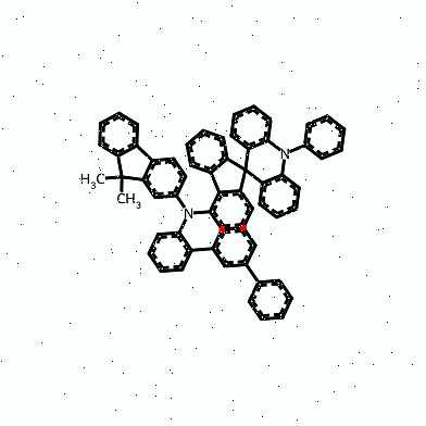 CC1(C)c2ccccc2-c2ccc(N(c3ccccc3-c3cccc(-c4ccccc4)c3)c3cccc4c3-c3ccccc3C43c4ccccc4N(c4ccccc4)c4ccccc43)cc21